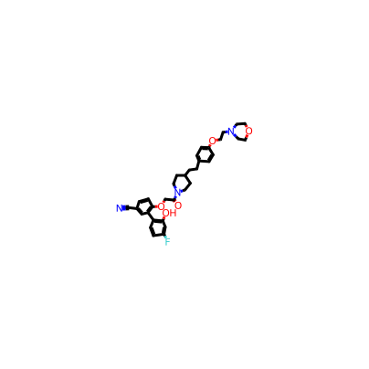 N#Cc1ccc(OCC(=O)N2CCC(CCc3ccc(OCCN4CCOCC4)cc3)CC2)c(-c2ccc(F)cc2O)c1